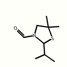 CC(C)C1SC(C)(C)CN1C=O